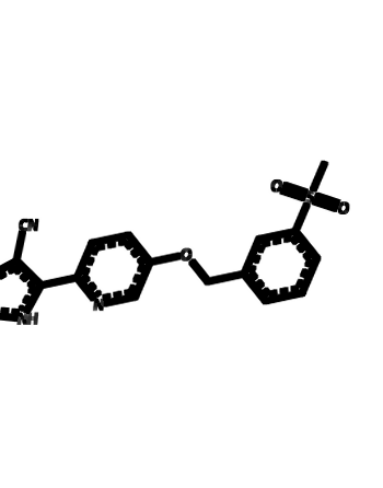 CS(=O)(=O)c1cccc(COc2ccc(-c3[nH]ncc3C#N)nc2)c1